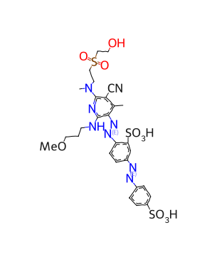 COCCCNc1nc(N(C)CCS(=O)(=O)CCO)c(C#N)c(C)c1/N=N/c1ccc(/N=N/c2ccc(S(=O)(=O)O)cc2)cc1S(=O)(=O)O